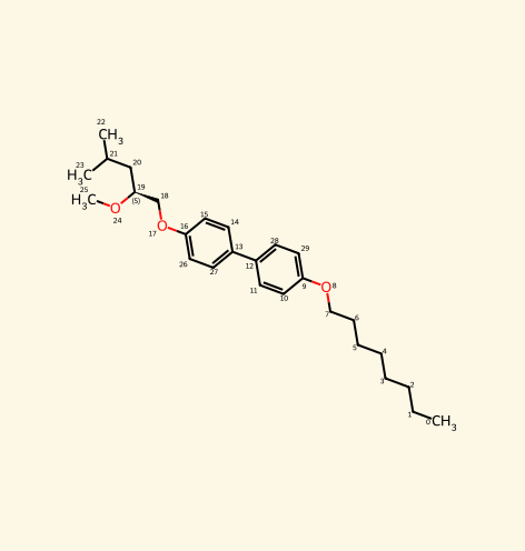 CCCCCCCCOc1ccc(-c2ccc(OC[C@H](CC(C)C)OC)cc2)cc1